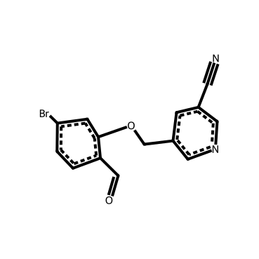 N#Cc1cncc(COc2cc(Br)ccc2C=O)c1